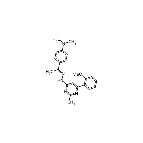 COc1ccccc1-c1cc(N/N=C(\C)c2ccc(N(C)C)cc2)nc(C)n1